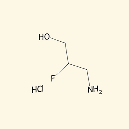 Cl.NCC(F)CO